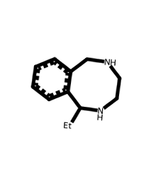 CCC1NCCNCc2ccccc21